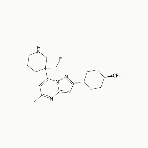 Cc1cc(C2(CF)CCCNC2)n2nc([C@H]3CC[C@H](C(F)(F)F)CC3)cc2n1